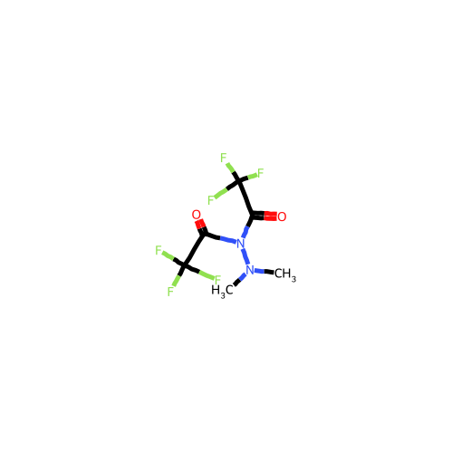 CN(C)N(C(=O)C(F)(F)F)C(=O)C(F)(F)F